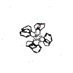 C1=CCC([Si]2(c3ccccc3)[Si](C3=CC=CC3)(c3ccccc3)[Si](C3=CC=CC3)(c3ccccc3)[Si]2(C2=CC=CC2)c2ccccc2)=C1